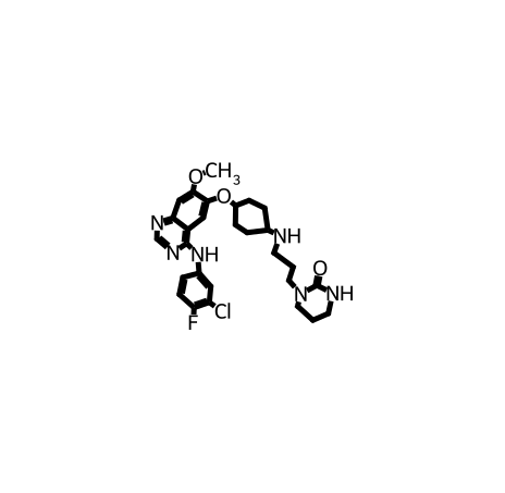 COc1cc2ncnc(Nc3ccc(F)c(Cl)c3)c2cc1OC1CCC(NCCCN2CCCNC2=O)CC1